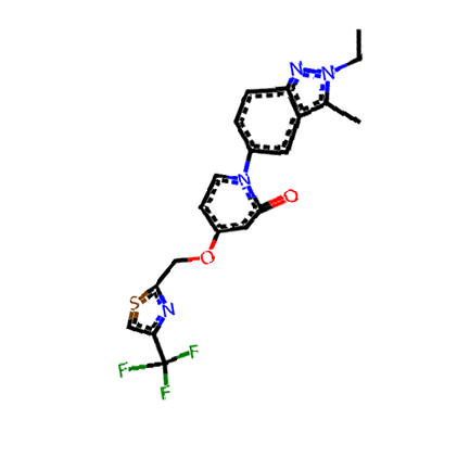 CCn1nc2ccc(-n3ccc(OCc4nc(C(F)(F)F)cs4)cc3=O)cc2c1C